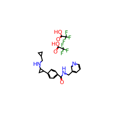 O=C(NCc1cccnc1)c1ccc(C2CC2NCC2CC2)cc1.O=C(O)C(F)(F)F.O=C(O)C(F)(F)F